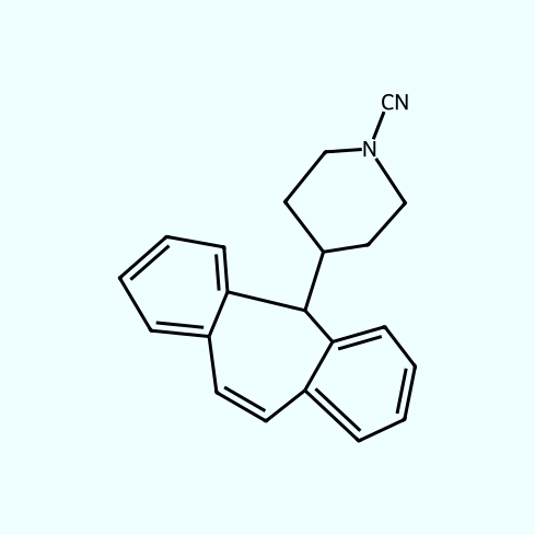 N#CN1CCC(C2c3ccccc3C=Cc3ccccc32)CC1